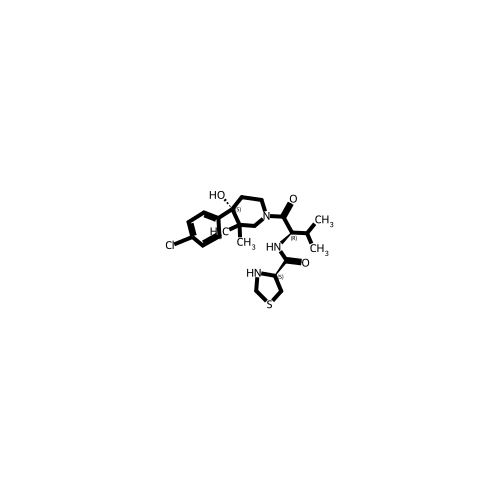 CC(C)[C@@H](NC(=O)[C@H]1CSCN1)C(=O)N1CC[C@](O)(c2ccc(Cl)cc2)C(C)(C)C1